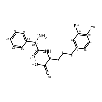 N[C@H](C(=O)NC(CCCc1ccc(F)c(F)c1)C(=O)O)c1ccccc1